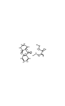 C=C(OCC)C(=O)OCC.O=C1CC=CC=C1C(=O)c1ccccc1